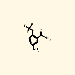 NC(=O)c1cc(N)ccc1CC(F)(F)F